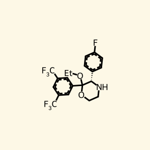 CCOC1(c2cc(C(F)(F)F)cc(C(F)(F)F)c2)OCCN[C@H]1c1ccc(F)cc1